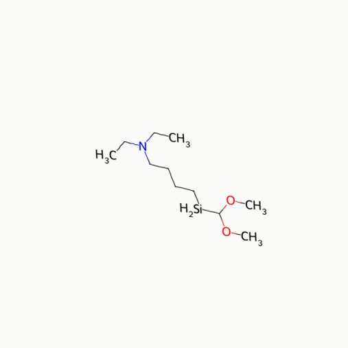 CCN(CC)CCCC[SiH2]C(OC)OC